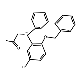 CC(=O)C[C@H](c1ccccc1)c1cc(Br)ccc1OCc1ccccc1